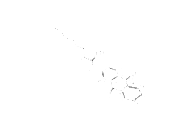 CCCCCCCC(=O)Oc1ccc2c(c1O)C(=O)c1ccccc1C2=O